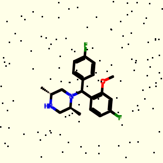 COc1cc(F)ccc1C(c1ccc(F)cc1)N1C[C@@H](C)NC[C@@H]1C